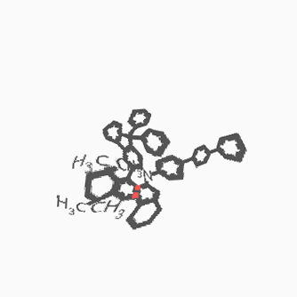 CC1(C)CCC(C)(C)c2c(-c3cc4c(cc3N(c3ccc(-c5ccc(-c6ccccc6)cc5)cc3)c3ccc5c(c3)CCCC5)C(c3ccccc3)(c3ccccc3)c3ccccc3-4)cccc21